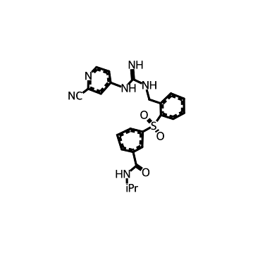 CC(C)NC(=O)c1cccc(S(=O)(=O)c2ccccc2CNC(=N)Nc2ccnc(C#N)c2)c1